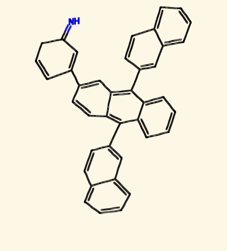 N=C1C=C(c2ccc3c(-c4ccc5ccccc5c4)c4ccccc4c(-c4ccc5ccccc5c4)c3c2)C=CC1